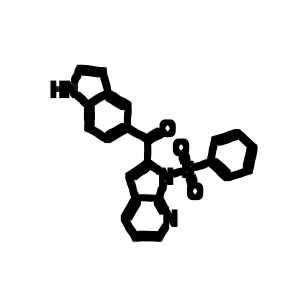 O=C(c1ccc2[nH]ccc2c1)c1cc2cccnc2n1S(=O)(=O)c1ccccc1